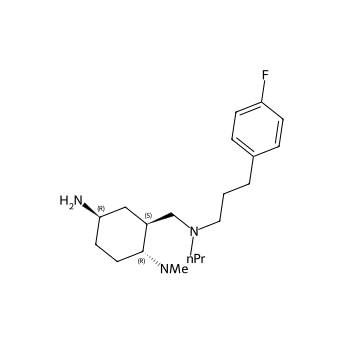 CCCN(CCCc1ccc(F)cc1)C[C@@H]1C[C@H](N)CC[C@H]1NC